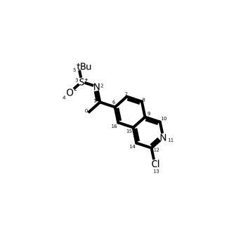 C/C(=N\[S+]([O-])C(C)(C)C)c1ccc2cnc(Cl)cc2c1